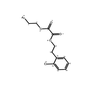 CC(=O)CCOC(=O)C(=O)OCCc1ccccc1Cl